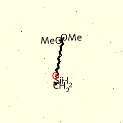 C=C[SiH2]OCCCCCCCCCCCC(OC)OC